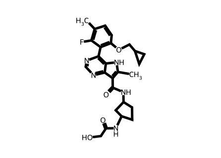 Cc1ccc(OCC2CC2)c(-c2ncnc3c(C(=O)NC4CCC(NC(=O)CO)C4)c(C)[nH]c23)c1F